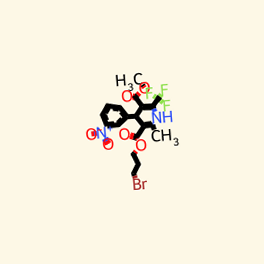 COC(=O)C1=C(C(F)(F)F)NC(C)=C(C(=O)OCCCBr)C1c1cccc([N+](=O)[O-])c1